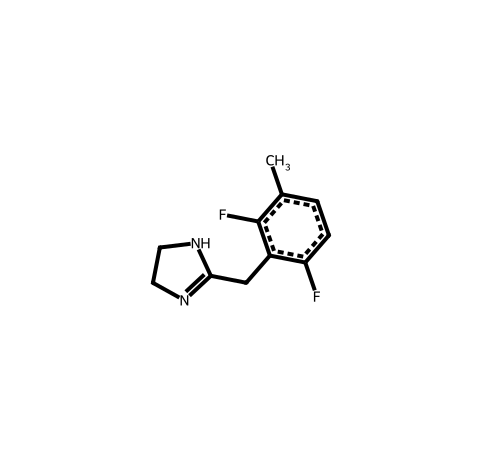 Cc1ccc(F)c(CC2=NCCN2)c1F